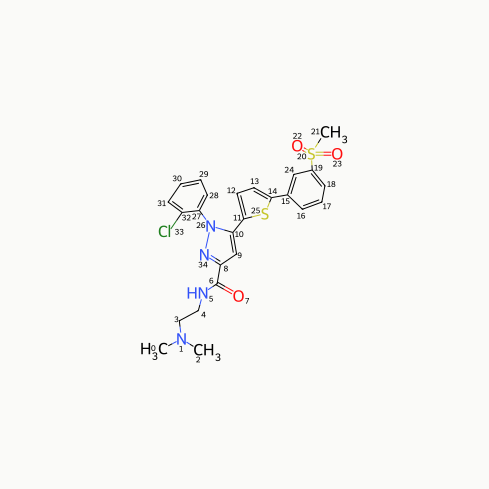 CN(C)CCNC(=O)c1cc(-c2ccc(-c3cccc(S(C)(=O)=O)c3)s2)n(-c2ccccc2Cl)n1